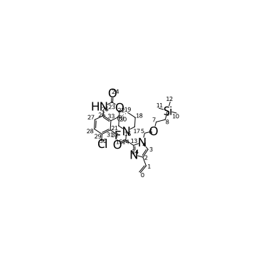 C=Cc1cn(COCC[Si](C)(C)C)c(C(=O)N2CCC[C@@]3(C2)OC(=O)Nc2ccc(Cl)c(F)c23)n1